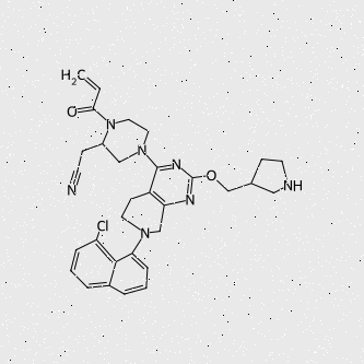 C=CC(=O)N1CCN(c2nc(OCC3CCNC3)nc3c2CCN(c2cccc4cccc(Cl)c24)C3)CC1CC#N